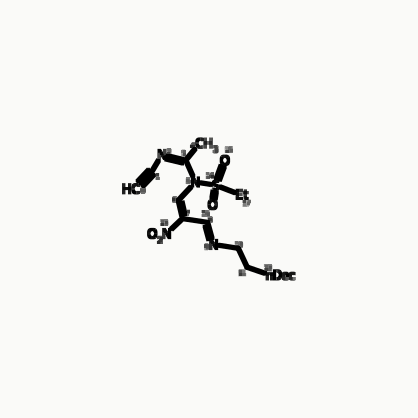 C#C/N=C(/C)N(/C=C(\C=N\CCCCCCCCCCCC)[N+](=O)[O-])S(=O)(=O)CC